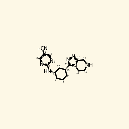 N#Cc1cnc(N[C@@H]2CCC[C@H](c3nnc4n3CCNC4)C2)nc1